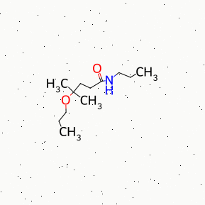 CCCNC(=O)CCC(C)(C)OCCC